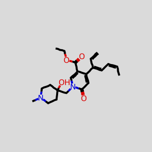 C=C/C(=C\C=C/C)c1cc(=O)n(CC2(O)CCN(C)CC2)cc1C(=O)OCC